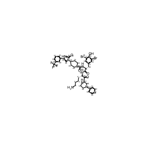 NCCCC[C@H](NC(=O)[C@@H](Cc1cc(Br)c(O)c(Br)c1)NC(=O)N1CCC(n2cc(-c3cccc(C(F)(F)F)c3)[nH]c2=O)CC1)C(=O)C1CN(c2ccncc2)CCN1